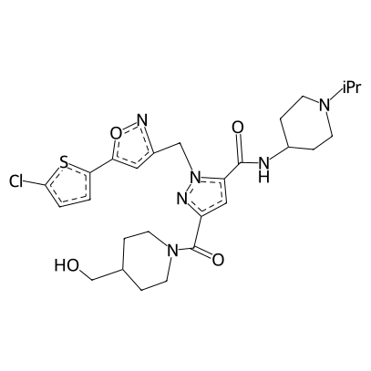 CC(C)N1CCC(NC(=O)c2cc(C(=O)N3CCC(CO)CC3)nn2Cc2cc(-c3ccc(Cl)s3)on2)CC1